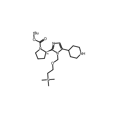 CC(C)(C)OC(=O)N1CCC[C@@H]1c1ncc(C2CCNCC2)n1COCC[Si](C)(C)C